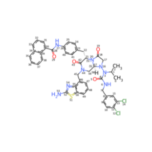 CC(C)N(C(=O)NCc1ccc(Cl)c(Cl)c1)N1CC(=O)N2[C@@H](Cc3ccc(NC(=O)c4cccc5ccccc45)cc3)C(=O)N(Cc3cccc4sc(N)nc34)C[C@@H]21